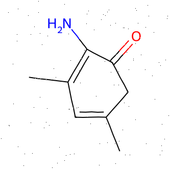 CC1=CC(C)=C(N)C(=O)C1